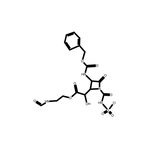 O=CNCCOC(=O)C(O)C1C(NC(=O)OCc2ccccc2)C(=O)N1C(=O)NS(=O)(=O)Cl